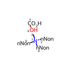 CCCCCCCCC[N+](C)(CCCCCCCCC)CCCCCCCCC.O=C(O)O